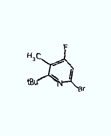 Cc1c(F)cc(Br)nc1C(C)(C)C